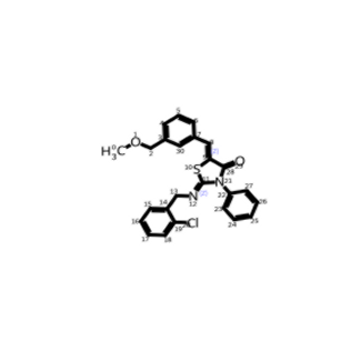 COCc1cccc(/C=C2\S/C(=N\Cc3ccccc3Cl)N(c3ccccc3)C2=O)c1